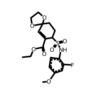 CCOC(=O)C1=CC2(CCC1S(=O)(=O)Nc1ccc(OC)cc1F)OCCO2